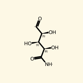 [NH]C(=O)[C@H](O)[C@@H](O)[C@H](O)[C]=O